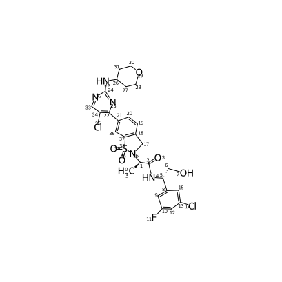 C[C@H](C(=O)N[C@H](CO)c1cc(F)cc(Cl)c1)N1Cc2ccc(-c3nc(NC4CCOCC4)ncc3Cl)cc2S1(=O)=O